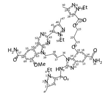 CCn1nc(C)cc1C(=O)Nc1nc2cc(C(N)=O)cc(OCCCOC(=O)c3cc(C)nn3CC)c2n1CC=CCn1c2nc(-c3cc(C)nn3CC)ncc2c2cc(C(N)=O)cc(OC)c21